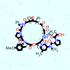 CC[C@H](C)[C@H]1NC(=O)C(N2CC(C)CC(N(C)C(=O)[C@@H]3CCCN3C(=O)[C@H](C)O)C2=O)[C@@H](C)OC(=O)[C@H](Cc2ccc(OC)cc2)N(C)C(=O)[C@@H]2CCCN2C(=O)[C@H](CC(C)C)NC(=O)[C@@H](C)C(=O)[C@H](C(C)C)CC(=O)C[C@@H]1O